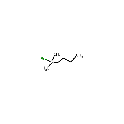 CCCC[Si](C)(C)Br